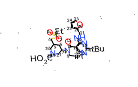 CCS(=O)(=O)CC1CC(N(CC(C)C)C(=O)c2cnc(C(C)(C)C)nc2NCc2ccco2)CN(C(=O)O)C1